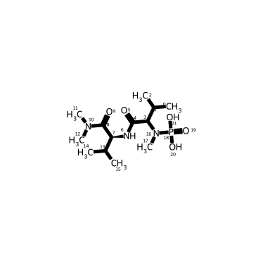 CC(C)C(C(=O)N[C@H](C(=O)N(C)C)C(C)C)N(C)P(=O)(O)O